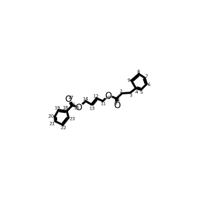 O=C(CCc1ccccc1)OCC=CCOC(=O)c1ccccc1